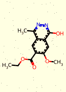 CCOC(=O)c1cc2c(C)nnc(O)c2cc1OC